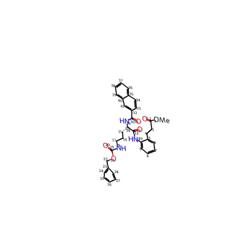 COC(=O)CCc1ccccc1NC(=O)[C@H](CCCNC(=O)OCc1ccccc1)NC(=O)c1ccc2ccccc2c1